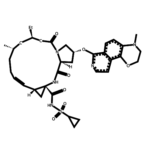 CC[C@H]1CC(=O)N2C[C@H](Oc3nccc4c5c(ccc34)N(C)CCO5)C[C@H]2C(=O)N[C@]2(C(=O)NS(=O)(=O)C3CC3)C[C@@H]2/C=C\CC[C@H](C)C1